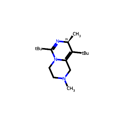 C[C@@H]1N=C(C(C)(C)C)N2CCN(C)CC2=C1C(C)(C)C